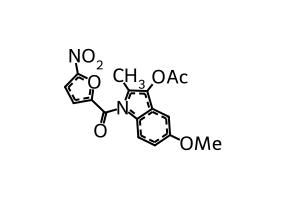 COc1ccc2c(c1)c(OC(C)=O)c(C)n2C(=O)c1ccc([N+](=O)[O-])o1